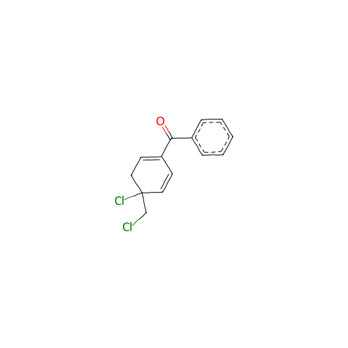 O=C(C1=CCC(Cl)(CCl)C=C1)c1ccccc1